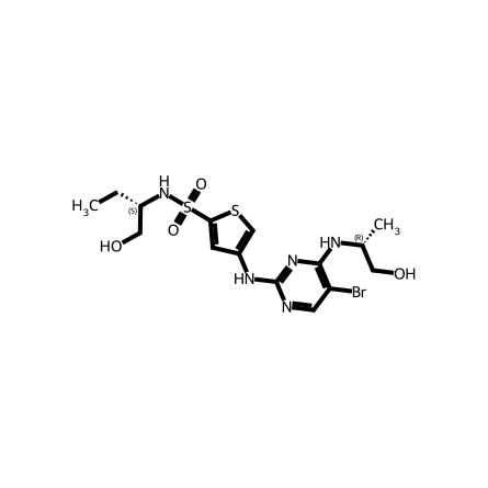 CC[C@@H](CO)NS(=O)(=O)c1cc(Nc2ncc(Br)c(N[C@H](C)CO)n2)cs1